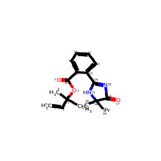 C=CC(C)(C)OC(=O)c1ccccc1C1=NC(=O)C(C)(C(C)C)N1